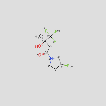 C[C@@](O)(CC(=O)N1CC[C@H](F)C1)C(F)(F)F